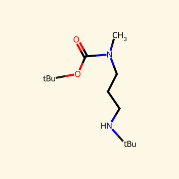 CN(CCCNC(C)(C)C)C(=O)OC(C)(C)C